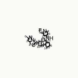 Cc1cc(C)n(CC(=O)N2CCN(c3ccccc3C(=O)Nc3ccnc(CF)c3)CC2)n1